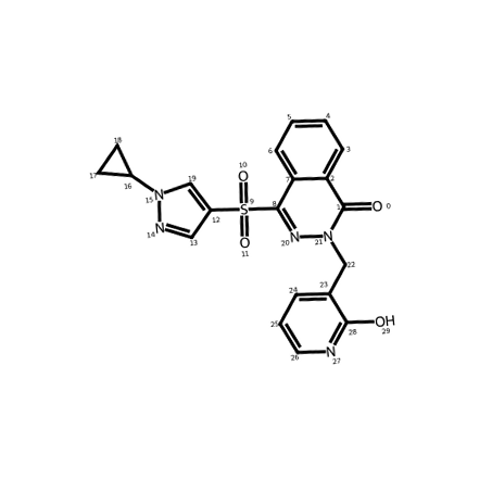 O=c1c2ccccc2c(S(=O)(=O)c2cnn(C3CC3)c2)nn1Cc1cccnc1O